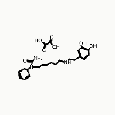 NC(=O)N(CCCCCCNCCc1ccc(O)c(O)c1)c1ccccc1.O=C(O)C(=O)O